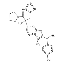 Cn1c(C(N)c2ccc(C#N)cc2)nc2cc(C(C)(Cc3nnn[nH]3)C(=O)N3CCCC3)ccc21